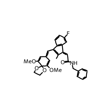 COC1=CC(=CC2=C(C)C(=CC(=O)NCc3ccccc3)c3cc(F)ccc32)C=C(OC)C12OCCO2